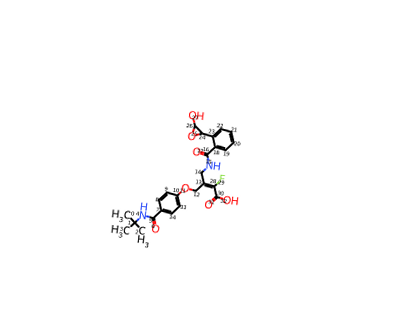 CC(C)(C)NC(=O)c1ccc(OC/C(CNC(=O)c2ccccc2C2OC2O)=C(/F)C(=O)O)cc1